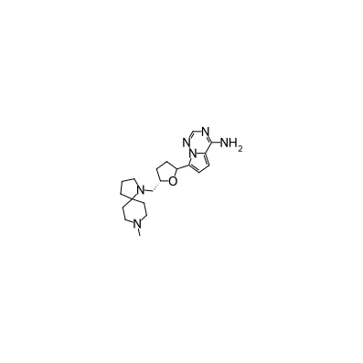 CN1CCC2(CCCN2C[C@@H]2CCC(c3ccc4c(N)ncnn34)O2)CC1